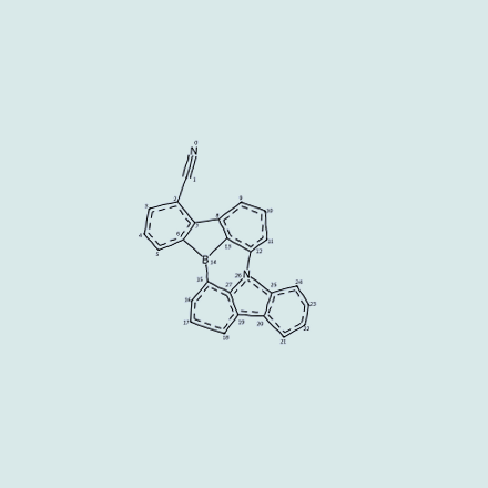 N#Cc1cccc2c1-c1cccc3c1B2c1cccc2c4ccccc4n-3c12